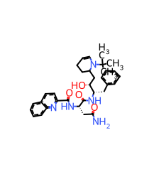 CC(C)(C)N1C=CCCC1C[C@@H](O)[C@H](Cc1ccccc1)NC(=O)[C@H](CC(N)=O)NC(=O)c1ccc2ccccc2n1